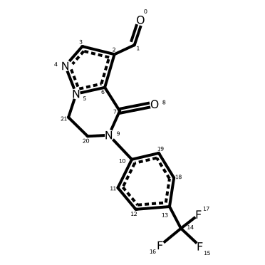 O=Cc1cnn2c1C(=O)N(c1ccc(C(F)(F)F)cc1)CC2